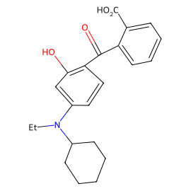 CCN(c1ccc(C(=O)c2ccccc2C(=O)O)c(O)c1)C1CCCCC1